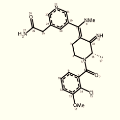 CN/C(=C1/CCN(C(=O)c2cccc(OC)c2Cl)[C@@H](C)C1=N)c1cncc(CC(N)=O)c1